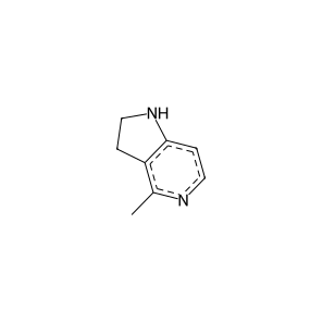 Cc1nccc2c1CCN2